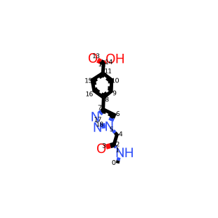 CNC(=O)Cn1cc(-c2ccc(C(=O)O)cc2)nn1